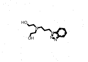 OCCN(CCO)CCCn1nnc2ccccc21